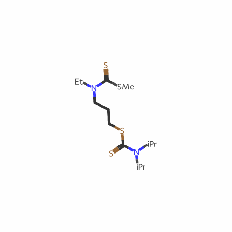 CCN(CCCSC(=S)N(C(C)C)C(C)C)C(=S)SC